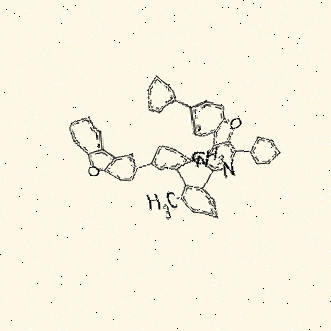 Cc1ccc(-c2ccc3oc4ccccc4c3c2)cc1-c1c(C)cccc1-c1nc(-c2ccccc2)c2oc3ccc(-c4ccccc4)cc3c2n1